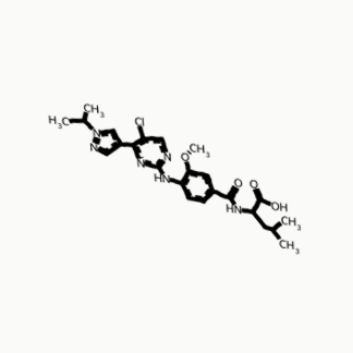 COc1cc(C(=O)NC(CC(C)C)C(=O)O)ccc1Nc1ncc(Cl)c(-c2cnn(C(C)C)c2)n1